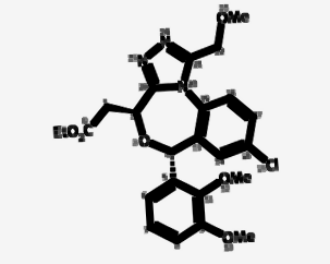 CCOC(=O)C[C@@H]1O[C@@H](c2cccc(OC)c2OC)c2cc(Cl)ccc2-n2c(COC)nnc21